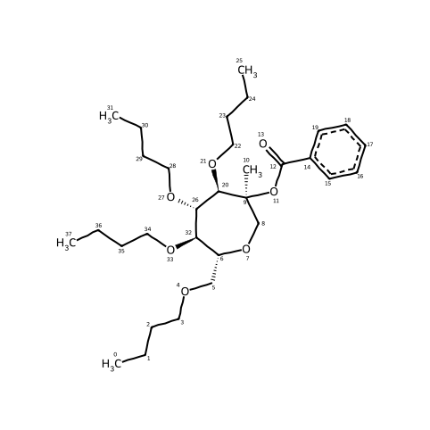 CCCCOC[C@H]1OC[C@](C)(OC(=O)c2ccccc2)[C@H](OCCCC)[C@@H](OCCCC)[C@@H]1OCCCC